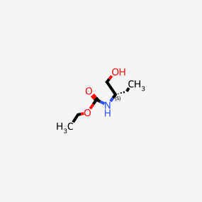 CCOC(=O)N[C@@H](CC)CO